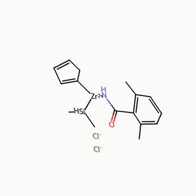 Cc1cccc(C)c1C(=O)[NH][Zr+2]([C]1=CC=CC1)[SiH](C)C.[Cl-].[Cl-]